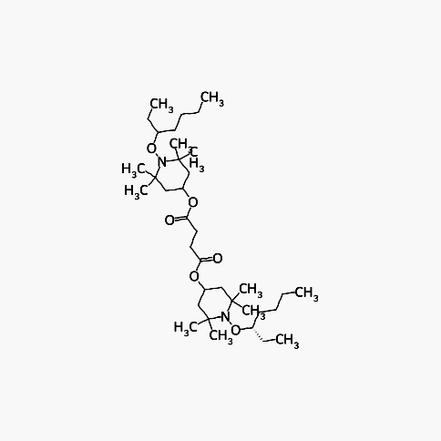 CCCCC(CC)ON1C(C)(C)CC(OC(=O)CCC(=O)OC2CC(C)(C)N(O[C@@H](CC)CCCC)C(C)(C)C2)CC1(C)C